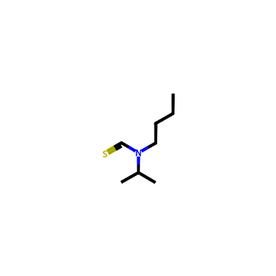 CCCCN(C=S)C(C)C